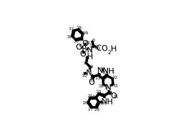 CC(NP(=O)(OCCCN(C)C(=O)c1n[nH]c2c1CN(C(=O)c1cc3ccccc3[nH]1)CC2)Oc1ccccc1)C(=O)O